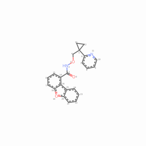 O=C(NOCC1(c2ccccn2)CC1)c1cccc2oc3ccccc3c12